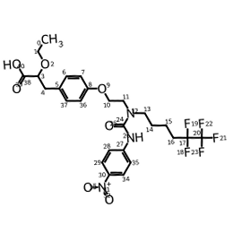 CCOC(Cc1ccc(OCCN(CCCCC(F)(F)C(F)(F)F)C(=O)Nc2ccc([N+](=O)[O-])cc2)cc1)C(=O)O